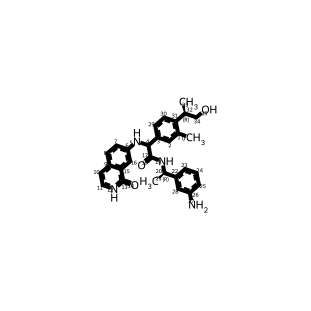 Cc1cc(C(Nc2ccc3cc[nH]c(=O)c3c2)C(=O)N[C@H](C)c2cccc(N)c2)ccc1[C@@H](C)CO